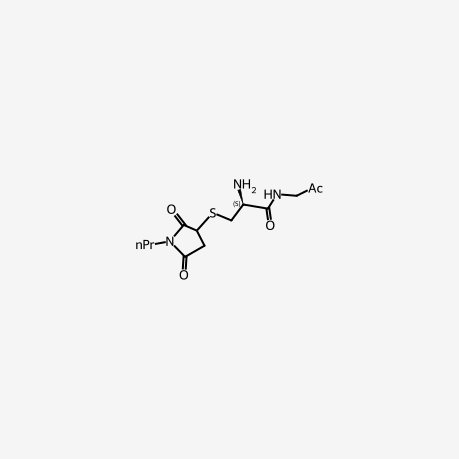 CCCN1C(=O)CC(SC[C@@H](N)C(=O)NCC(C)=O)C1=O